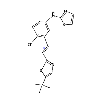 CC(C)(C)c1cnc(/C=C/c2cc(Nc3nccs3)ccc2Cl)o1